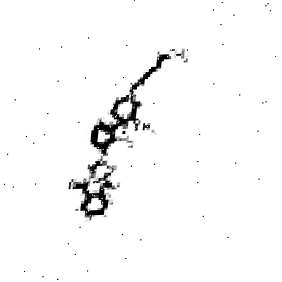 CCCCCCN1CCC(C)(c2cccc(OCN3C(=O)c4ccccc4S3(=O)=O)c2)C(C)C1